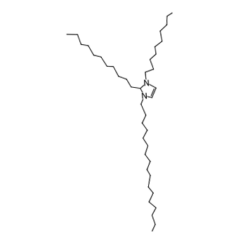 CCCCCCCCCCCCCCCCCN1C=CN(CCCCCCCCCC)C1CCCCCCCCCCC